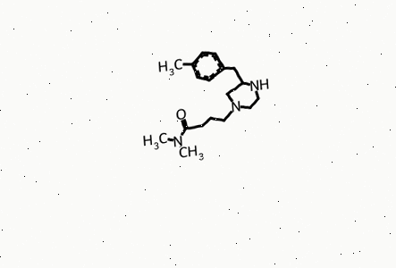 Cc1ccc(CC2CN(CCCC(=O)N(C)C)CCN2)cc1